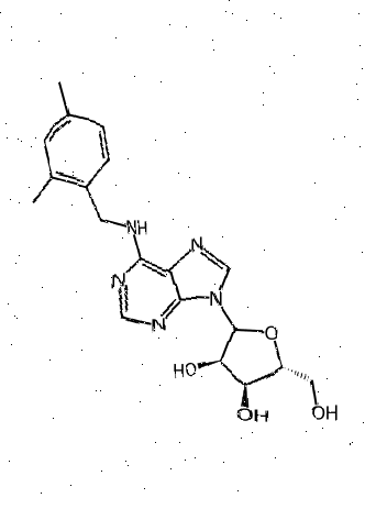 Cc1ccc(CNc2ncnc3c2ncn3C2O[C@H](CO)[C@@H](O)[C@H]2O)c(C)c1